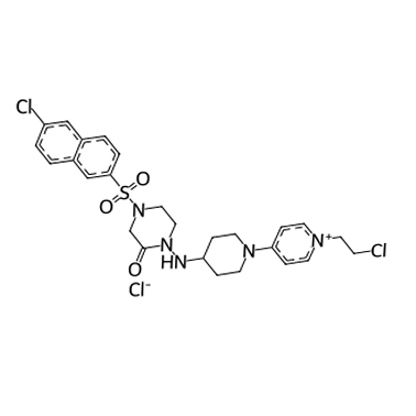 O=C1CN(S(=O)(=O)c2ccc3cc(Cl)ccc3c2)CCN1NC1CCN(c2cc[n+](CCCl)cc2)CC1.[Cl-]